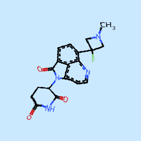 CN1CC(F)(c2ccc3c4c(ccnc24)N(C2CCC(=O)NC2=O)C3=O)C1